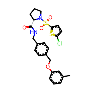 Cc1cccc(OCc2ccc(CNC(=O)[C@@H]3CCCN3S(=O)(=O)c3ccc(Cl)s3)cc2)c1